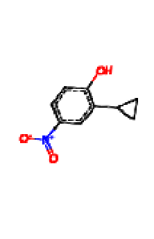 O=[N+]([O-])c1ccc(O)c(C2CC2)c1